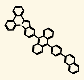 c1ccc2cc(-c3ccc(-c4c5ccccc5c(-c5ccc6c(c5)cc5c7ccccc7c7ccccc7n65)c5ccccc45)cc3)ccc2c1